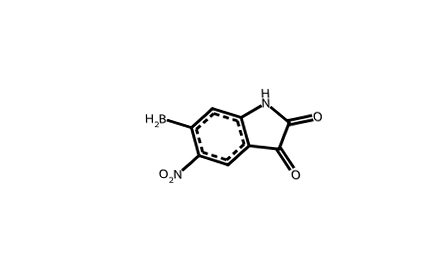 Bc1cc2c(cc1[N+](=O)[O-])C(=O)C(=O)N2